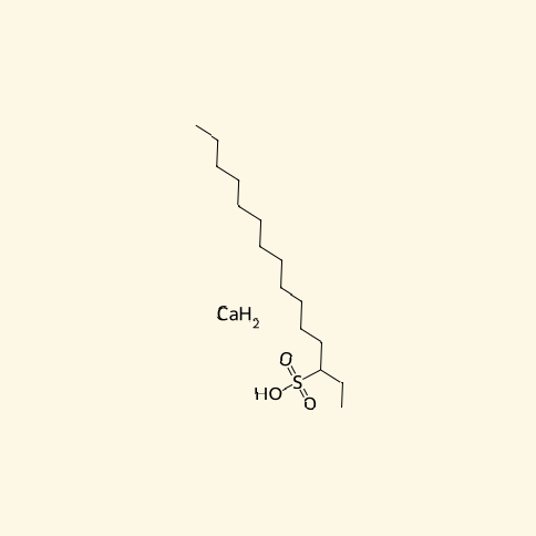 CCCCCCCCCCCCC(CC)S(=O)(=O)O.[CaH2]